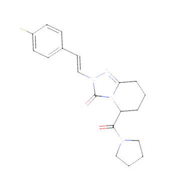 O=C(C1CCCc2nn(/C=C/c3ccc(F)cc3)c(=O)n21)N1CCCC1